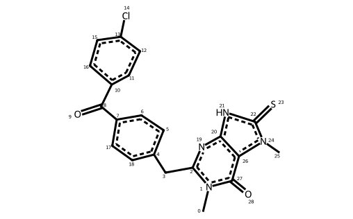 Cn1c(Cc2ccc(C(=O)c3ccc(Cl)cc3)cc2)nc2[nH]c(=S)n(C)c2c1=O